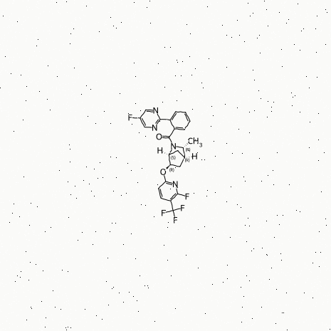 C[C@@H]1[C@H]2C[C@@H](Oc3ccc(C(F)(F)F)c(F)n3)[C@H](C2)N1C(=O)c1ccccc1-c1ncc(F)cn1